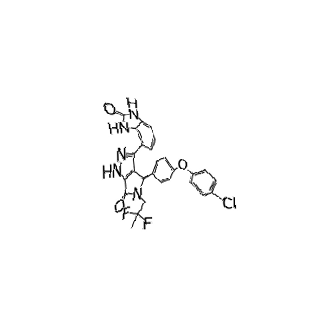 CC(F)(F)CN1C(=O)c2[nH]nc(-c3cccc4[nH]c(=O)[nH]c34)c2C1c1ccc(Oc2ccc(Cl)cc2)cc1